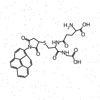 NC(CCC(=O)NC(CSC1CC(=O)N(c2ccc3ccc4cccc5ccc2c3c45)C1=O)C(=O)NCC(=O)O)C(=O)O